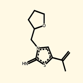 C=C(C)c1cn(CC2CCCO2)c(=N)s1